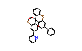 c1ccc(-c2ccc3c(c2)Sc2ccccc2C32c3ccccc3Sc3cc(-c4ccccn4)ccc32)cc1